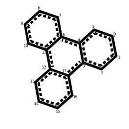 [c]1ccc2c(c1)c1ccc[c]c1c1ccccc12